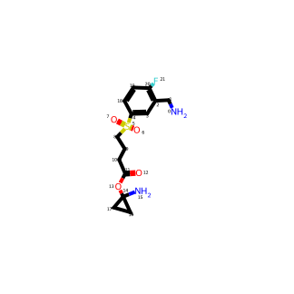 NCc1cc(S(=O)(=O)CCCC(=O)OC2(N)CC2)ccc1F